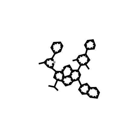 Cc1cc(-c2ccccc2)nc(-c2cc(C(C)C)c3ccc4c(-c5ccc6ccccc6c5)cc(-c5c(C)cc(-c6ccccc6)cc5C)c5ccc2c3c45)c1